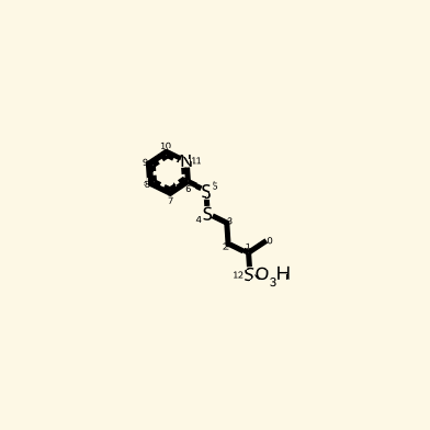 CC(CCSSc1ccccn1)S(=O)(=O)O